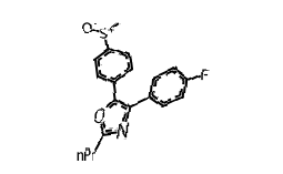 CCCc1nc(-c2ccc(F)cc2)c(-c2ccc([S+](C)[O-])cc2)o1